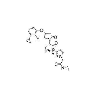 CC(C)C[C@@H](C(=O)Nc1ccn(CC(N)=O)n1)N1CC(Oc2cccc(C3CC3)c2F)=CC1=O